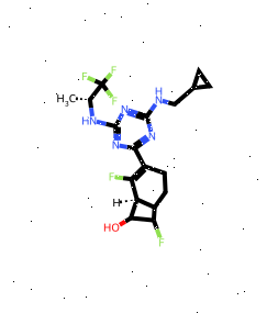 C[C@@H](Nc1nc(NCC2CC2)nc(C2=C(F)[C@@H]3C(O)C(F)C3CC2)n1)C(F)(F)F